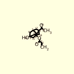 C=CC(=O)OC12CC3CC(O)(C1)CC(C(C)=O)(C3)C2